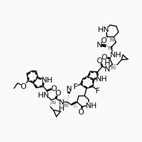 CCOc1cccc2[nH]c(C(=O)N[C@@H](CC3CC3)C(=O)N[C@H](C#N)/C=C3\CC(c4c(F)cc5cc(C(=O)N[C@@H](CC6CC6)C(=O)N[C@H](C#N)C[C@@H]6CCCNC6=O)[nH]c5c4F)CNC3=O)cc12